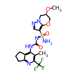 CO[C@H]1COc2c([S@](N)(=O)=NC(=O)Nc3c(C)c(C(F)(F)F)nc4c3CCC4)cnn2C1